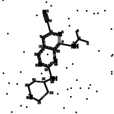 CC(C)Nc1nc(C#N)cc2cnc(NC3CCSCC3)nc12